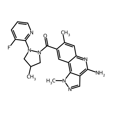 Cc1cc2nc(N)c3cnn(C)c3c2cc1C(=O)N1CC(C)CN1c1ncccc1F